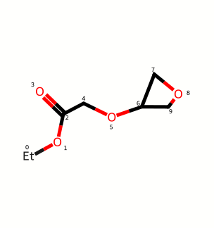 CCOC(=O)COC1COC1